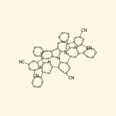 N#Cc1cc(C#N)cc(-c2ccc3c4ccc(-c5cc(C#N)cc(C#N)c5)cc4n(-c4c(-c5cc(-c6ccccc6)nc(-c6ccccc6)n5)cc(C#N)cc4-c4cc(-c5ccccc5)nc(-c5ccccc5)n4)c3c2)c1